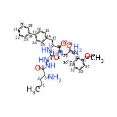 CCC[C@@H](N)C(=O)NNC(=O)N[C@@H](Cc1ccc(-c2ccccc2)cc1)C(=O)N[C@@H](Cc1cccc(OC)c1)C(N)=O